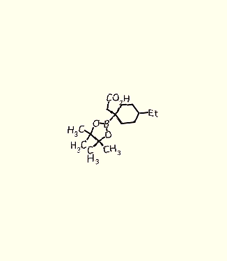 CCC1CCC(CC(=O)O)(B2OC(C)(C)C(C)(C)O2)CC1